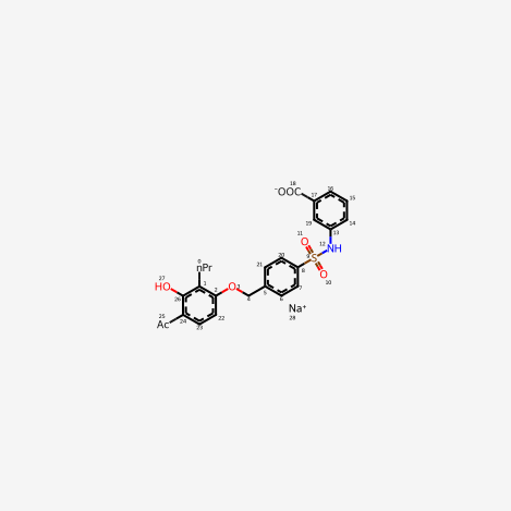 CCCc1c(OCc2ccc(S(=O)(=O)Nc3cccc(C(=O)[O-])c3)cc2)ccc(C(C)=O)c1O.[Na+]